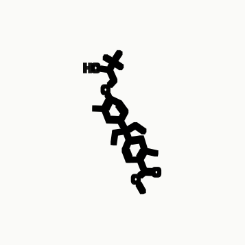 CCC(CC)(c1ccc(OCC(O)C(C)(C)C)c(C)c1)c1ccc(C(=O)OC)c(C)c1